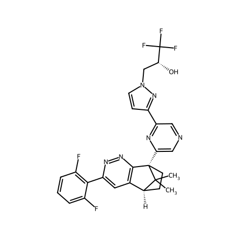 CC1(C)[C@H]2CC[C@]1(c1cncc(-c3ccn(C[C@@H](O)C(F)(F)F)n3)n1)c1nnc(-c3c(F)cccc3F)cc12